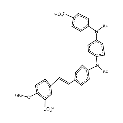 CC(=O)N(c1ccc(C=Cc2ccc(OC(C)(C)C)c(C(=O)O)c2)cc1)c1ccc(N(C(C)=O)c2ccc(C(=O)O)cc2)cc1